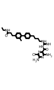 CCNC(=O)CCc1ccc(-c2ccc(CCCCNC(=N)NC(=O)c3nc(Cl)c(N)nc3N)cc2)c(C)c1